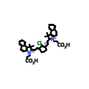 CC1(C)C(/C=C/C2=C(Cl)C(=C/C=C3/N(CCC(=O)O)c4ccc5ccccc5c4C3(C)C)/CCC2)=[N+](CCC(=O)O)c2ccc3ccccc3c21